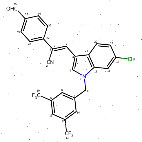 N#C/C(=C\c1cn(Cc2cc(C(F)(F)F)cc(C(F)(F)F)c2)c2cc(Cl)ccc12)c1ccc(C=O)cc1